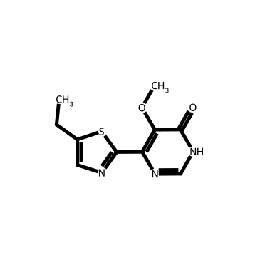 CCc1cnc(-c2nc[nH]c(=O)c2OC)s1